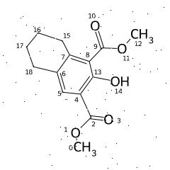 COC(=O)c1cc2c(c(C(=O)OC)c1O)CCCC2